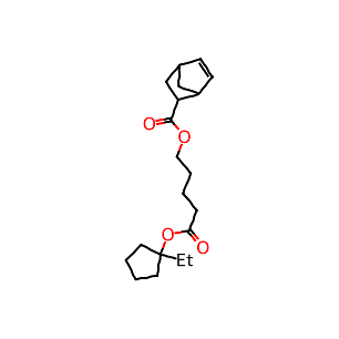 CCC1(OC(=O)CCCCOC(=O)C2CC3C=CC2C3)CCCC1